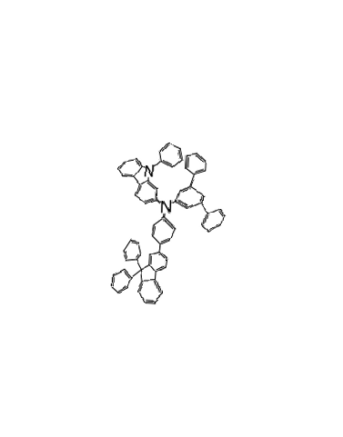 c1ccc(-c2cc(-c3ccccc3)cc(N(c3ccc(-c4ccc5c(c4)C(c4ccccc4)(c4ccccc4)c4ccccc4-5)cc3)c3ccc4c5ccccc5n(-c5ccccc5)c4c3)c2)cc1